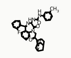 Cc1cccc(NC(=O)NC2N=C(c3ccccc3F)c3ccccc3N(CC(=O)N3CC4CC5CC(C4)CC3C5)C2=O)c1